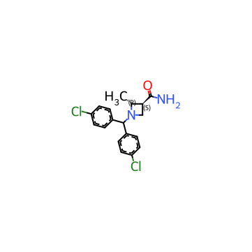 C[C@@H]1[C@@H](C(N)=O)CN1C(c1ccc(Cl)cc1)c1ccc(Cl)cc1